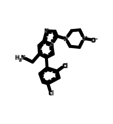 NCc1cc2ncc(N3CC[S+]([O-])CC3)n2cc1-c1ccc(Cl)cc1Cl